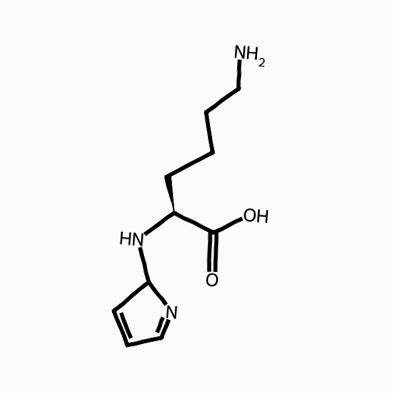 NCCCC[C@H](NC1C=CC=N1)C(=O)O